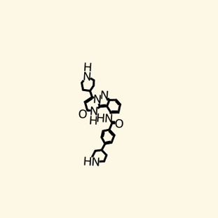 O=C(Nc1cccc2nn3c(C4CCNCC4)cc(=O)[nH]c3c12)c1ccc(C2CCNCC2)cc1